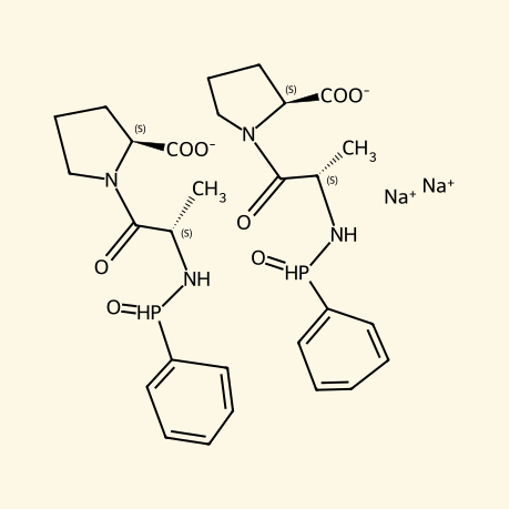 C[C@H](N[PH](=O)c1ccccc1)C(=O)N1CCC[C@H]1C(=O)[O-].C[C@H](N[PH](=O)c1ccccc1)C(=O)N1CCC[C@H]1C(=O)[O-].[Na+].[Na+]